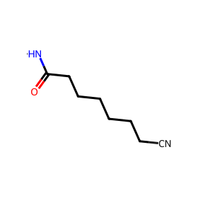 N#CCCCCCCC([NH])=O